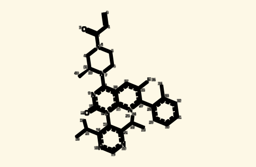 C=CC(=O)N1CCN(c2nc(=O)n(-c3c(C(C)C)ncnc3C(C)C)c3nc(-c4ccccc4C)c(F)cc23)[C@@H](C)C1